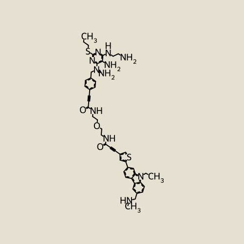 CCCSc1nc(NCCN)c(N)c(N(N)Cc2ccc(C#CC(=O)NCCOCCNC(=O)C#Cc3csc(-c4ccc5c6cc(CNC)ccc6n(CC)c5c4)c3)cc2)n1